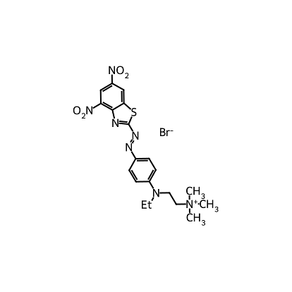 CCN(CC[N+](C)(C)C)c1ccc(N=Nc2nc3c([N+](=O)[O-])cc([N+](=O)[O-])cc3s2)cc1.[Br-]